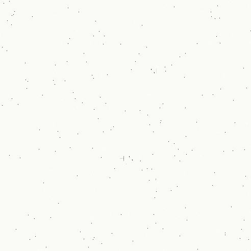 NCc1ccc(C=O)c(N)c1-c1ccccc1